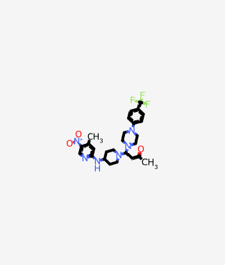 CC(=O)CC(N1CCC(Nc2cc(C)c([N+](=O)[O-])cn2)CC1)N1CCN(c2ccc(C(F)(F)F)cc2)CC1